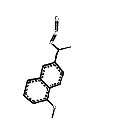 COc1cccc2cc(C(C)N=C=O)ccc12